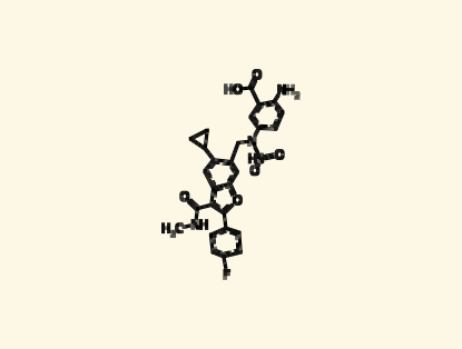 CNC(=O)c1c(-c2ccc(F)cc2)oc2cc(CN(c3ccc(N)c(C(=O)O)c3)[SH](=O)=O)c(C3CC3)cc12